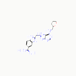 N=C(N)c1ccc2[nH]c(Cc3nc4ncnc(NCC5CCCO5)c4[nH]3)nc2c1